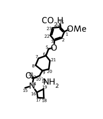 COc1cc(OCC2CCC([C@H](N)C(=O)N(C)C3CCC3)CC2)ccc1C(=O)O